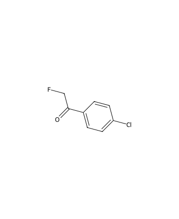 O=C(CF)c1ccc(Cl)cc1